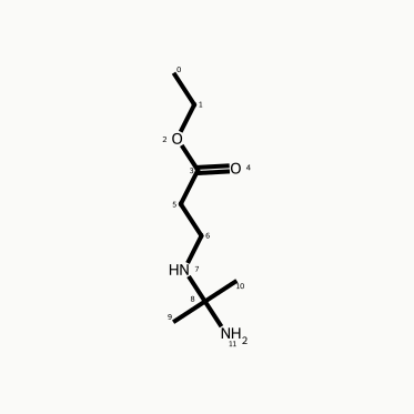 CCOC(=O)CCNC(C)(C)N